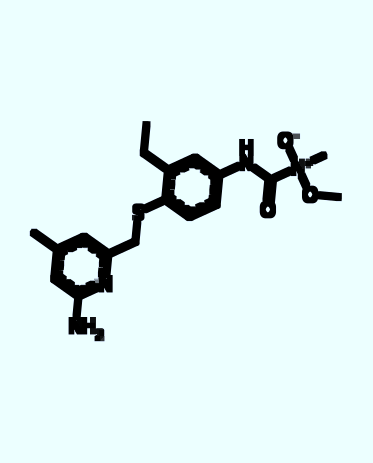 CCc1cc(NC(=O)[N+](C)([O-])OC)ccc1SCc1cc(C)cc(N)n1